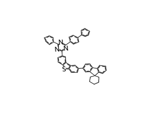 c1ccc(-c2ccc(-c3nc(-c4ccccc4)nc(-c4ccc5sc6ccc(-c7ccc8c(c7)C7(CCCCC7)c7ccccc7-8)cc6c5c4)n3)cc2)cc1